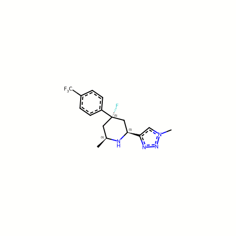 C[C@H]1C[C@@](F)(c2ccc(C(F)(F)F)cc2)C[C@@H](c2cn(C)nn2)N1